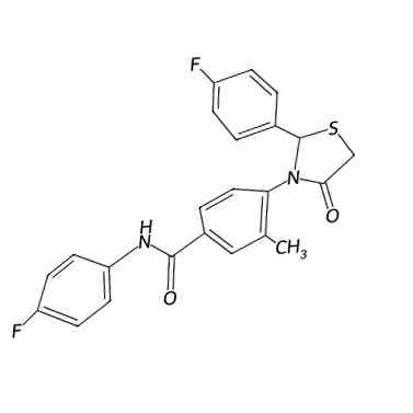 Cc1cc(C(=O)Nc2ccc(F)cc2)ccc1N1C(=O)CSC1c1ccc(F)cc1